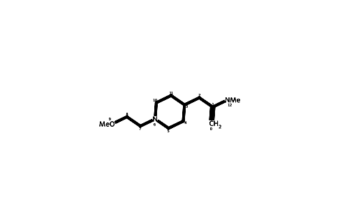 C=C(CC1CCN(CCOC)CC1)NC